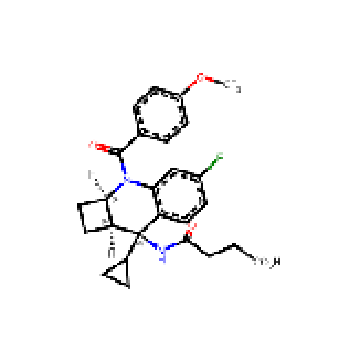 O=C(O)CCC(=O)N[C@]1(C2CC2)c2ccc(F)cc2N(C(=O)c2ccc(OC(F)(F)F)cc2)[C@@H]2CC[C@@H]21